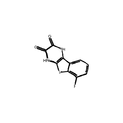 O=c1[nH]c2sc3c(F)cccc3c2[nH]c1=O